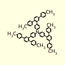 Cc1ccc(-c2ccc(-c3ccc(C)cc3)c(-c3ccc(N(c4ccc(-c5cc(-c6ccc(C)cc6)ccc5-c5ccc(C)cc5)cc4)c4ccc(-c5cc(-c6ccc(C)cc6)ccc5-c5ccc(C)cc5)cc4)cc3)c2)cc1